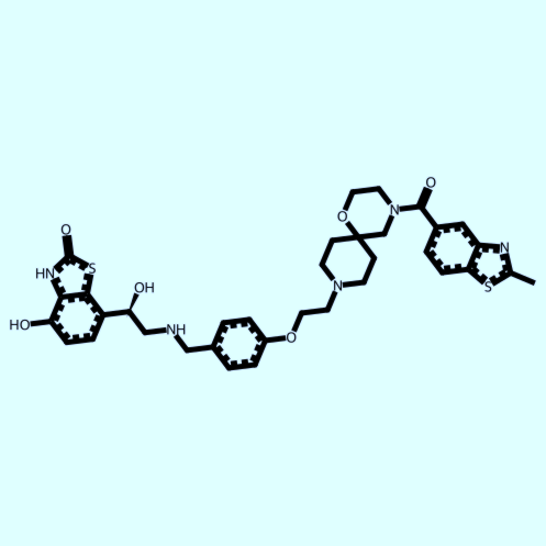 Cc1nc2cc(C(=O)N3CCOC4(CCN(CCOc5ccc(CNC[C@H](O)c6ccc(O)c7[nH]c(=O)sc67)cc5)CC4)C3)ccc2s1